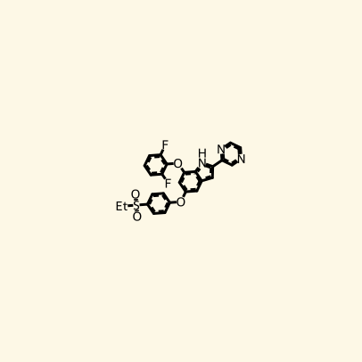 CCS(=O)(=O)c1ccc(Oc2cc(Oc3c(F)cccc3F)c3[nH]c(-c4cnccn4)cc3c2)cc1